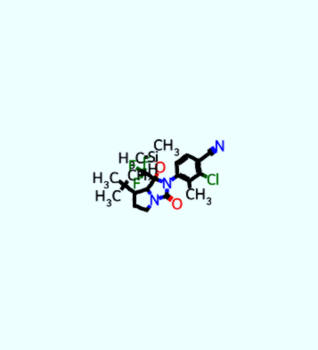 Cc1c(N2C(=O)N3CCC(C(C)(C)C)C3C2(O[SiH](C)C)C(F)(F)F)ccc(C#N)c1Cl